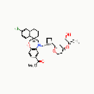 COC(=O)c1ccc2c(c1)N(C[C@@H]1CC[C@H]1[C@@H]1C[C@@H](O[C@H](C)CO)CCO1)C[C@@]1(CCCc3cc(Cl)ccc31)CO2